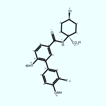 CC[C@H]1CC[C@](NC(=O)c2ccc(OC)c(-c3ccc(OC)c(F)c3)c2)(C(=O)O)CC1